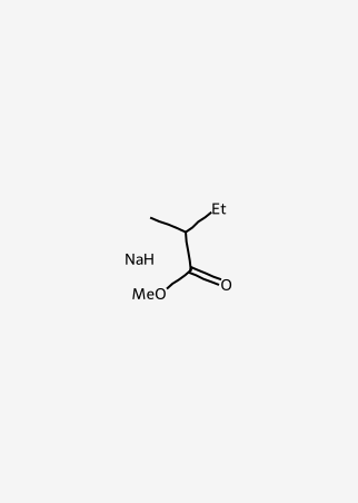 CCC(C)C(=O)OC.[NaH]